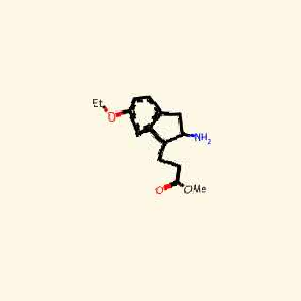 CCOc1ccc2c(c1)C(CCC(=O)OC)C(N)C2